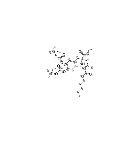 CCCCCOC(=O)O[C@@H](C)CC(N)(Cc1ccc(OC(=O)OC(C)(C)C)c(OC(=O)OC(C)(C)C)c1)C(=O)OC